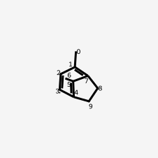 Cc1c[c]c2c(C)c1CC2